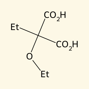 CCOC(CC)(C(=O)O)C(=O)O